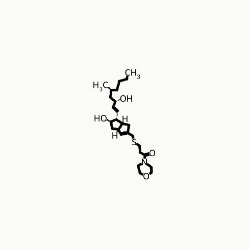 CCCC[C@H](C)C[C@H](O)/C=C/[C@@H]1[C@H]2CC(CSCCC(=O)N3CCOCC3)=C[C@H]2C[C@H]1O